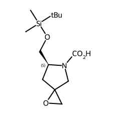 CC(C)(C)[Si](C)(C)OC[C@@H]1CC2(CO2)CN1C(=O)O